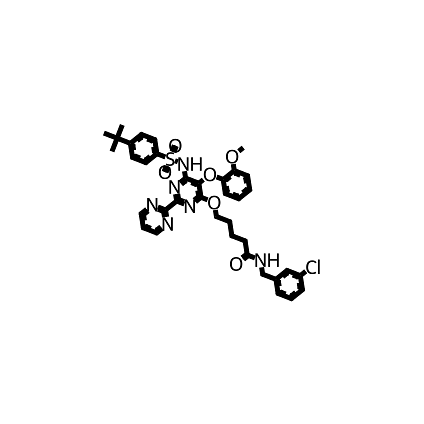 COc1ccccc1Oc1c(NS(=O)(=O)c2ccc(C(C)(C)C)cc2)nc(-c2ncccn2)nc1OCCCCC(=O)NCc1cccc(Cl)c1